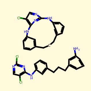 Clc1cnc2nc1Nc1cccc(c1)CCCc1cccc(c1)N2.Nc1cccc(CCCc2cccc(Nc3nc(Cl)ncc3Cl)c2)c1